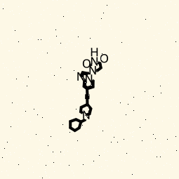 O=C1CCN(c2cnc3cc(C#CC4CCN(CC5CCCCC5)CC4)ccn23)C(=O)N1